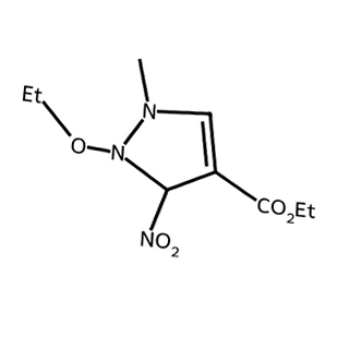 CCOC(=O)C1=CN(C)N(OCC)C1[N+](=O)[O-]